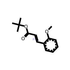 COc1ccccc1/C=C/C(=O)OC(C)(C)C